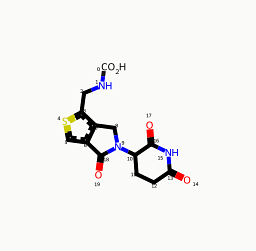 O=C(O)NCc1scc2c1CN(C1CCC(=O)NC1=O)C2=O